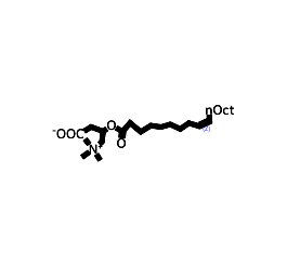 CCCCCCCC/C=C\CCCCCCCC(=O)OC(CC(=O)[O-])C[N+](C)(C)C